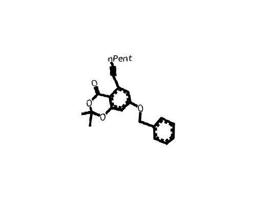 CCCCCC#Cc1cc(OCc2ccccc2)cc2c1C(=O)OC(C)(C)O2